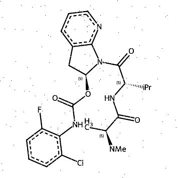 CN[C@@H](C)C(=O)N[C@H](C(=O)N1c2ncccc2C[C@@H]1OC(=O)Nc1c(F)cccc1Cl)C(C)C